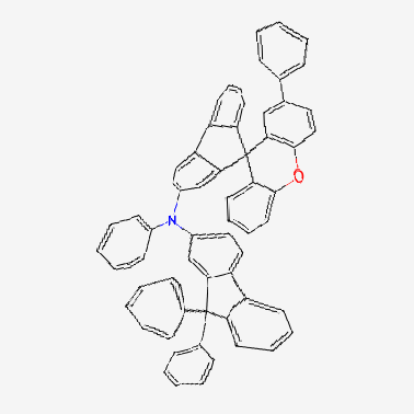 c1ccc(-c2ccc3c(c2)C2(c4ccccc4O3)c3ccccc3-c3ccc(N(c4ccccc4)c4ccc5c(c4)C(c4ccccc4)(c4ccccc4)c4ccccc4-5)cc32)cc1